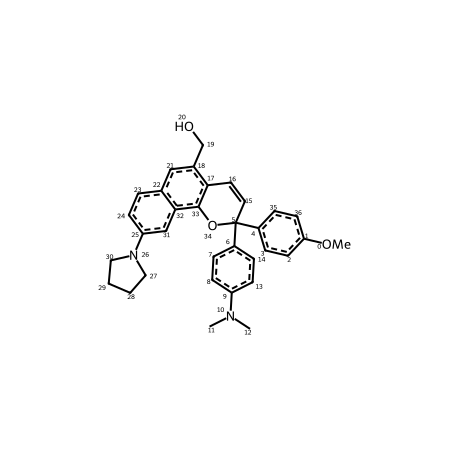 COc1ccc(C2(c3ccc(N(C)C)cc3)C=Cc3c(CO)cc4ccc(N5CCCC5)cc4c3O2)cc1